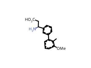 COc1cccc(-c2cccc([C@@H](N)CC(=O)O)c2)c1C